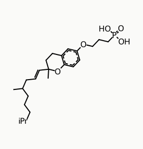 CC(C)CCCC(C)C/C=C/C1(C)CCc2cc(OCCCP(=O)(O)O)ccc2O1